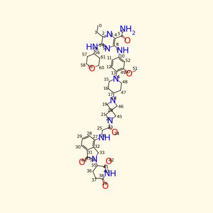 CCc1nc(C(N)=O)c(Nc2ccc(N3CCC(N4CC5(CN(C(=O)CNc6cccc7c6CN(C6CCC(=O)NC6=O)C7=O)C5)C4)CC3)c(OC)c2)nc1NC1CCOCC1